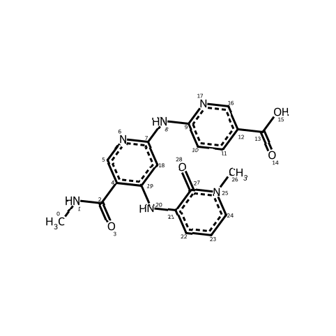 CNC(=O)c1cnc(Nc2ccc(C(=O)O)cn2)cc1Nc1cccn(C)c1=O